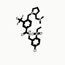 CCS(=O)(=O)c1ccc(Cl)cc1CNC(=O)c1ccc(CN2CCCC2CN(C)C)c(C(F)(F)F)c1